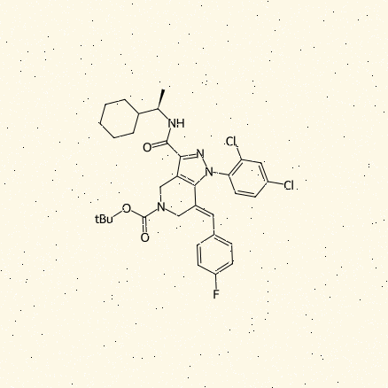 C[C@@H](NC(=O)c1nn(-c2ccc(Cl)cc2Cl)c2c1CN(C(=O)OC(C)(C)C)C/C2=C\c1ccc(F)cc1)C1CCCCC1